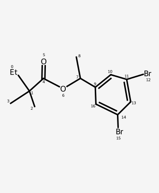 CCC(C)(C)C(=O)OC(C)c1cc(Br)cc(Br)c1